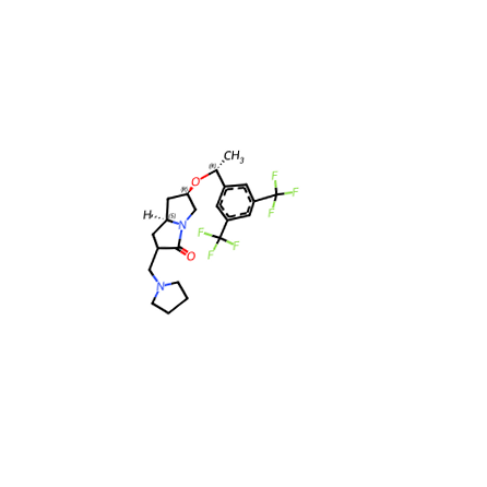 C[C@@H](O[C@@H]1C[C@@H]2CC(CN3CCCC3)C(=O)N2C1)c1cc(C(F)(F)F)cc(C(F)(F)F)c1